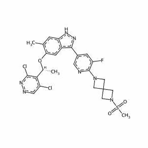 Cc1cc2[nH]nc(-c3cnc(N4CC5(C4)CN(S(C)(=O)=O)C5)c(F)c3)c2cc1O[C@H](C)c1c(Cl)cnnc1Cl